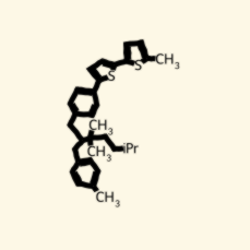 Cc1ccc(CC(Cc2ccc(-c3ccc(-c4ccc(C)s4)s3)cc2)C(C)(C)CCC(C)C)cc1